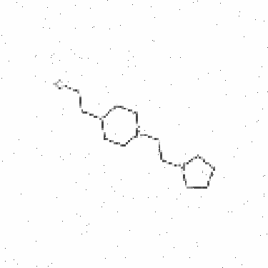 [O]CCC1CCN(CCN2CCCC2)CC1